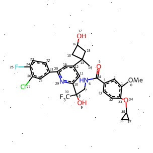 COc1cc(C(=O)NCC(O)(c2cc(C3(C)CC(O)C3)cc(-c3ccc(F)c(Cl)c3)n2)C(F)(F)F)ccc1OC1CC1